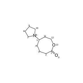 O=C1CCCC(N2CCCC2)CCO1